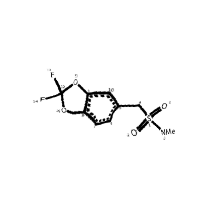 CNS(=O)(=O)Cc1ccc2c(c1)OC(F)(F)O2